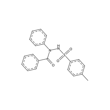 Cc1ccc(S(=O)(=O)NN(C(=O)c2ccccc2)c2ccccc2)cc1